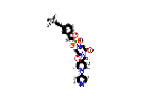 C[Si](C)(C)C#Cc1ccc2oc(S(=O)(=O)N3CC(=O)N4CC5(CCN(c6ccncc6)CC5)OC4C3)cc2c1